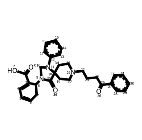 O=C(O)C1=CC=CCC1N1CN(c2ccccc2)C2(CCN(CCCC(=O)c3ccccc3)CC2)C1=O